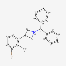 CCc1c(Br)cccc1C1CN(C(c2ccccc2)c2ccccc2)C1